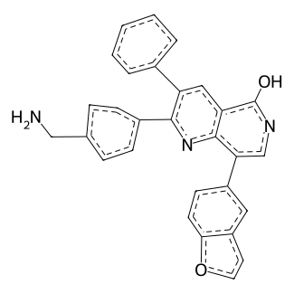 NCc1ccc(-c2nc3c(-c4ccc5occc5c4)cnc(O)c3cc2-c2ccccc2)cc1